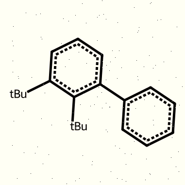 CC(C)(C)c1cccc(-c2ccccc2)c1C(C)(C)C